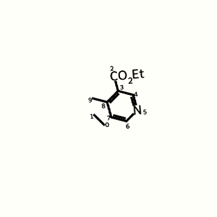 CC.CCOC(=O)c1cnccc1C